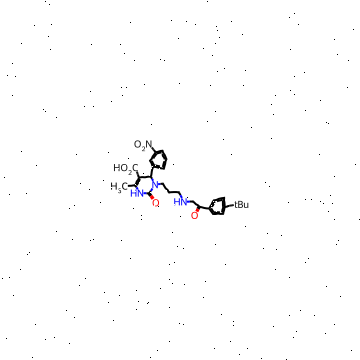 CC1=C(C(=O)O)C(c2cccc([N+](=O)[O-])c2)N(CCCNCC(=O)c2ccc(C(C)(C)C)cc2)C(=O)N1